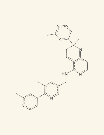 Cc1cc(-c2ncc(CNc3nccc4c3=CCC(C)(c3ccnc(C)c3)N=4)cc2C)ccn1